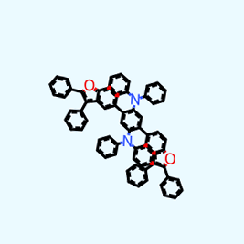 c1ccc(-c2oc3ccc(-c4cc(N(c5ccccc5)c5ccccc5)c(-c5ccc6oc(-c7ccccc7)c(-c7ccccc7)c6c5)cc4N(c4ccccc4)c4ccccc4)cc3c2-c2ccccc2)cc1